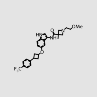 COCCN1CC(C)(C(=O)Nc2c[nH]c3ccc(OC4CC(c5ccc(C(F)(F)F)cc5)C4)cc23)C1